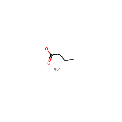 CCCC(=O)[O-].[Rb+]